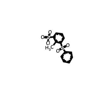 Cc1c(S(=O)(=O)Cl)cccc1S(=O)(=O)c1ccccc1